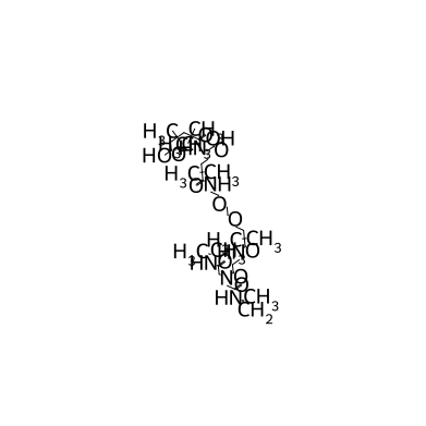 C=C(C)NC(=O)CN(CC(=O)NC(C)C)C(=O)CCNC(=O)C(C)(C)CCOCCOCCNC(=O)C(C)(C)CC[C@H](NC(=O)C(C)(C)CC(C)(C)CC(=O)O)C(=O)O